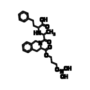 CC(NC(CCc1ccccc1)C(=O)O)C(=O)N1Cc2ccccc2CC1C(=O)OCCCON(O)O